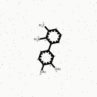 [CH2]c1cccc(-c2ccc(OC(C)=O)c(OC(C)=O)c2)c1N